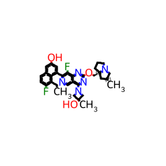 CCc1c(F)ccc2cc(O)cc(-c3ncc4c(N5CC(C)(O)C5)nc(OC[C@@]56CCCN5C[C@H](C)C6)nc4c3F)c12